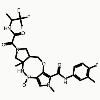 Cc1cc(NC(=O)c2c3c(cn2C)[S+]([O-])NC2(C)CN(C(=O)C(=O)NC(C)C(F)(F)F)CC2CO3)ccc1F